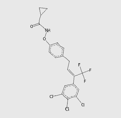 O=C(NOc1ccc(CC=C(c2cc(Cl)c(Cl)c(Cl)c2)C(F)(F)F)cc1)C1CC1